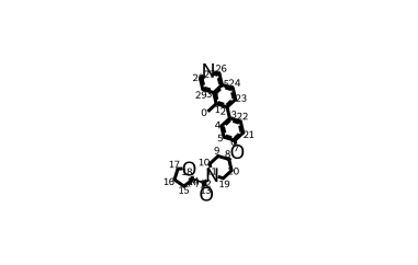 Cc1c(-c2ccc(OC3CCN(C(=O)[C@H]4CCCO4)CC3)cc2)ccc2cnccc12